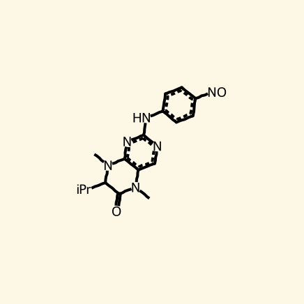 CC(C)C1C(=O)N(C)c2cnc(Nc3ccc(N=O)cc3)nc2N1C